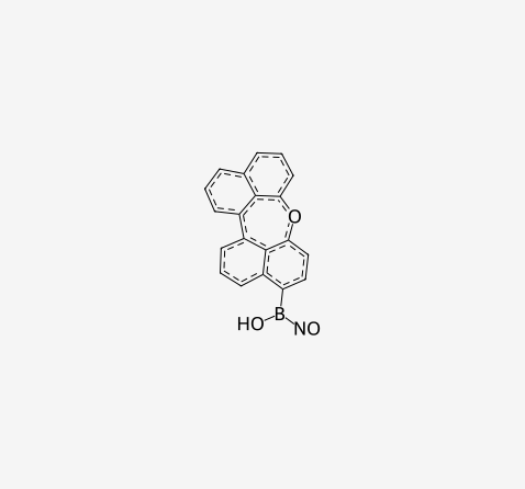 O=NB(O)c1ccc2oc3cccc4cccc(c5cccc1c25)c43